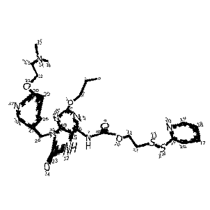 CCCOc1nc(NC(=O)OCCSSc2ccccn2)c2[nH]c(=O)n(Cc3ccc(OCCN(C)C)nc3)c2n1